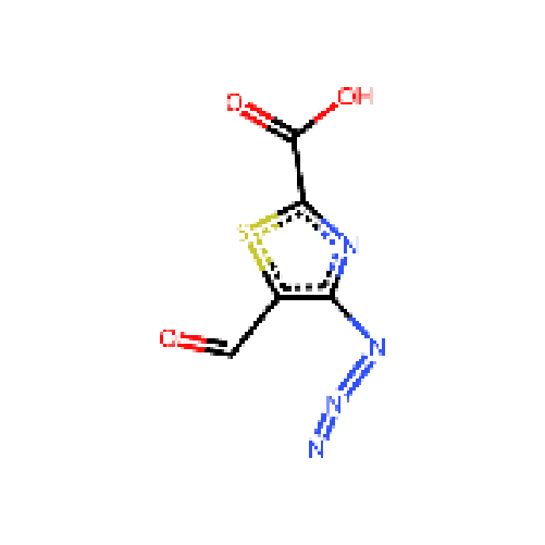 [N-]=[N+]=Nc1nc(C(=O)O)sc1C=O